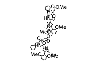 CCC(C)Cn1nc(C(=O)N[C@@H](Cc2ccccc2)C(=O)NCC(=O)OCc2ccc(OC)c(-c3cc(C(=O)N[C@@H](Cc4ccccc4)C(=O)NCC(=O)OC)nn3C(C)C(C)C)c2OC)cc1-c1c(OC)cccc1OC